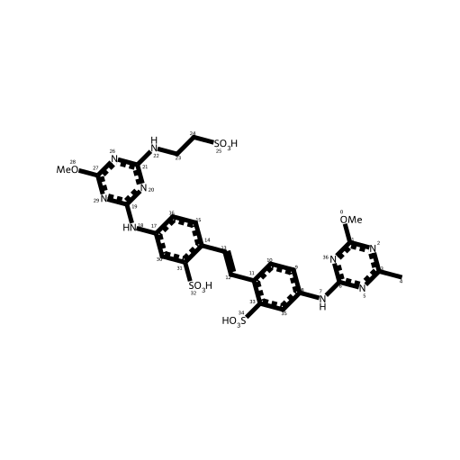 COc1nc(C)nc(Nc2ccc(C=Cc3ccc(Nc4nc(NCCS(=O)(=O)O)nc(OC)n4)cc3S(=O)(=O)O)c(S(=O)(=O)O)c2)n1